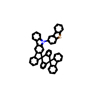 c1ccc2c(c1)-c1ccccc1C21c2ccccc2C2(c3ccccc3-c3cc4c5ccccc5n(-c5ccc6sc7ccccc7c6c5)c4cc32)c2ccccc21